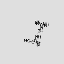 OCCOc1cc(CNCCCCOCCNc2cc(-c3nncs3)cc3[nH]ncc23)cc(OC(F)(F)F)c1